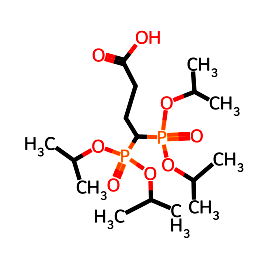 CC(C)OP(=O)(OC(C)C)C(CCC(=O)O)P(=O)(OC(C)C)OC(C)C